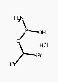 CC(C)C(OP(N)O)C(C)C.Cl